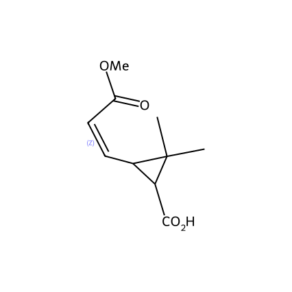 COC(=O)/C=C\C1C(C(=O)O)C1(C)C